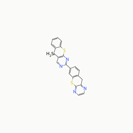 c1ccc2c(c1)[SiH2]c1cnc(-c3ccc4c(c3)Sc3nccnc3C4)nc1S2